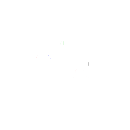 CC(=O)OC1(c2ccc(Cn3cc(Cl)ccc3=O)cc2)CCCC1